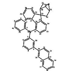 c1ccc(N(c2cccc(-c3ccc4ccccc4c3)c2)c2cccc3c2-c2ccccc2C32CC3CCC2C3)cc1